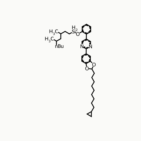 CCCCC(C)CC(C)CC[SiH2]Oc1ccccc1-c1cnc(-c2ccc3c(c2)OC(CCCCCCCCCC2CC2)O3)nc1